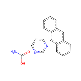 NC(=O)O.c1ccc2cc3ccccc3cc2c1.c1cncnc1